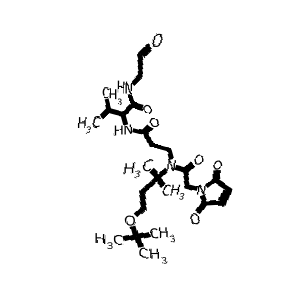 CC(C)C(NC(=O)CCN(C(=O)CN1C(=O)C=CC1=O)C(C)(C)CCOC(C)(C)C)C(=O)NCC=O